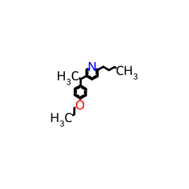 CCCCc1ccc(C(C)c2ccc(OCCC)cc2)cn1